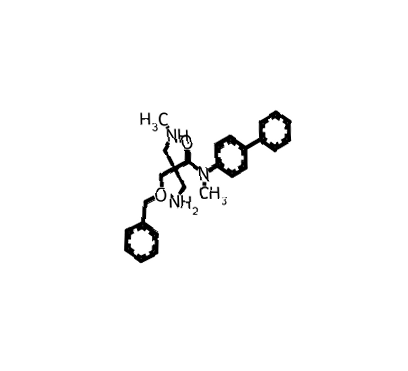 CNCC(CN)(COCc1ccccc1)C(=O)N(C)c1ccc(-c2ccccc2)cc1